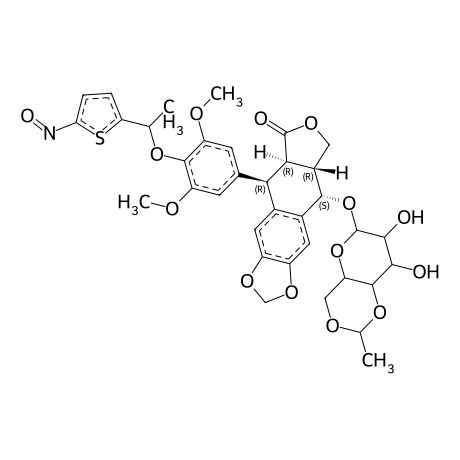 COc1cc([C@@H]2c3cc4c(cc3[C@@H](OC3OC5COC(C)OC5C(O)C3O)[C@H]3COC(=O)[C@H]23)OCO4)cc(OC)c1OC(C)c1ccc(N=O)s1